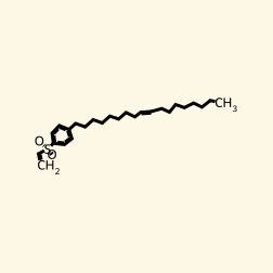 C=CS(=O)(=O)c1ccc(CCCCCCCCC=CCCCCCCCC)cc1